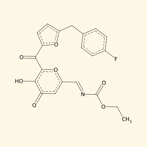 CCOC(=O)/N=C/c1cc(=O)c(O)c(C(=O)c2ccc(Cc3ccc(F)cc3)o2)o1